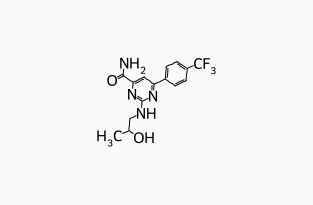 CC(O)CNc1nc(C(N)=O)cc(-c2ccc(C(F)(F)F)cc2)n1